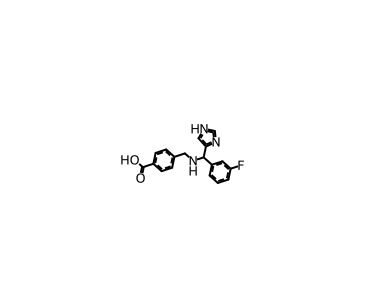 O=C(O)c1ccc(CNC(c2cccc(F)c2)c2c[nH]cn2)cc1